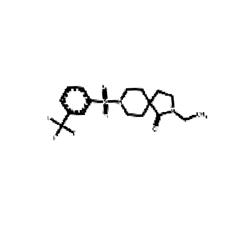 CCN1CCC2(CCN(S(=O)(=O)c3cccc(C(F)(F)F)c3)CC2)C1=O